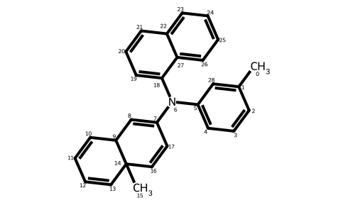 Cc1cccc(N(C2=CC3C=CC=CC3(C)C=C2)c2cccc3ccccc23)c1